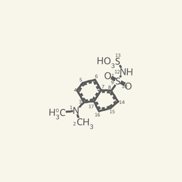 CN(C)c1cccc2c(S(=O)(=O)NS(=O)(=O)O)cccc12